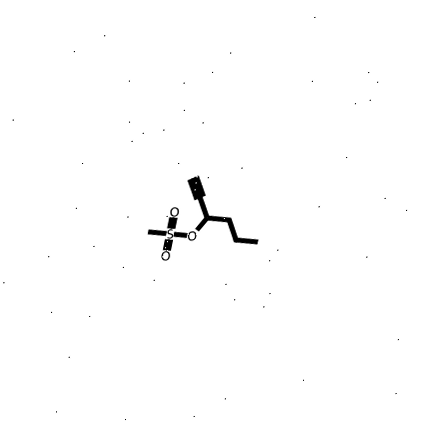 C#CC(CCC)OS(C)(=O)=O